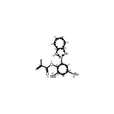 C=C(C)C(=O)Oc1c(-n2nc3ccccc3n2)cc(C(C)(C)C)cc1C(C)(C)C